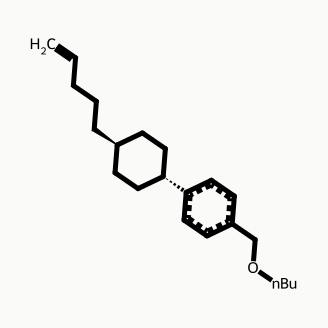 C=CCCC[C@H]1CC[C@H](c2ccc(COCCCC)cc2)CC1